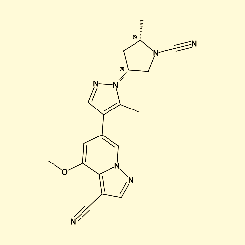 COc1cc(-c2cnn([C@@H]3C[C@H](C)N(C#N)C3)c2C)cn2ncc(C#N)c12